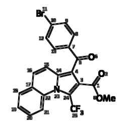 COC(=O)c1c(C(=O)c2ccc(Br)cc2)c2ccc3ccccc3n2c1C(F)(F)F